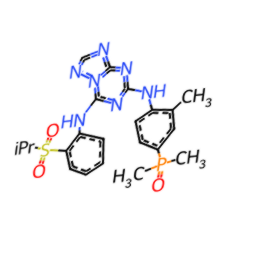 Cc1cc(P(C)(C)=O)ccc1Nc1nc(Nc2ccccc2S(=O)(=O)C(C)C)n2ncnc2n1